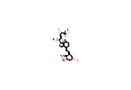 C=C1C(=CC=C2CCC[C@@]3(C)C2CC[C@@H]3[C@H](C)/C=C/[C@H](C)C(C)(C)F)C[C@@H](O)C[C@@H]1O